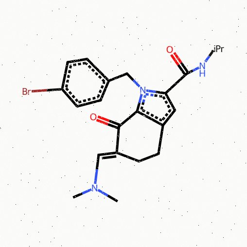 CC(C)NC(=O)c1cc2c(n1Cc1ccc(Br)cc1)C(=O)C(=CN(C)C)CC2